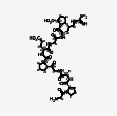 C[C@H](NC(=O)[C@@H]1CCCN1C(=O)CN)C(=O)NCC(=O)N1CCC[C@H]1C(=O)N[C@@H](CCC(=O)O)C(=O)NCC(=O)N[C@@H](CCCNC(=N)N)C(=O)N1CCC[C@H]1C(=O)O